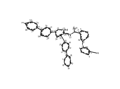 Cc1cccc(-c2cccc(C(N)/N=c3\[nH]cc(-c4ccc(-c5ccccc5)cc4)cc3-c3ccc(-c4ccccc4)cc3)c2)c1